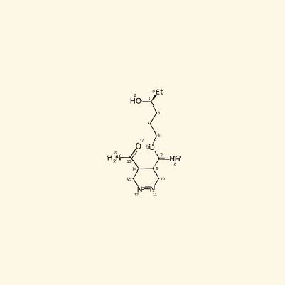 CC[C@H](O)CCCOC(=N)C1CN=NCC1C(N)=O